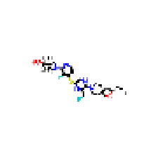 C[C@H]1CC2(CCN(c3ncc(Sc4ccnc(N5CC(C(C)(C)O)C5)c4F)nc3CF)CC2)CO1